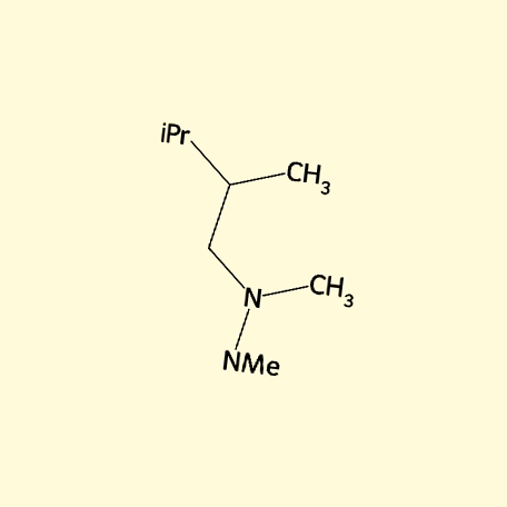 CNN(C)CC(C)C(C)C